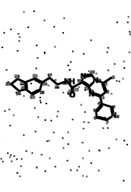 Cc1cc(-c2cccnc2)nc2c(C(=O)NCCc3ccc4c(c3)CCC4)ncn12